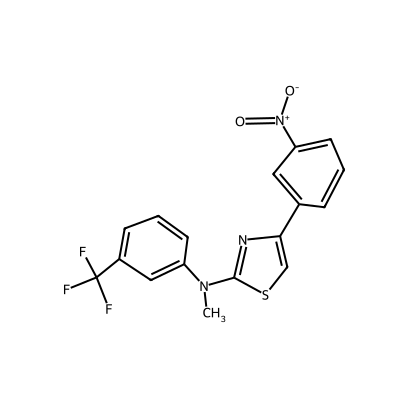 CN(c1cccc(C(F)(F)F)c1)c1nc(-c2cccc([N+](=O)[O-])c2)cs1